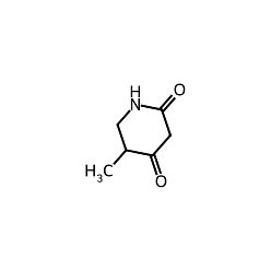 CC1CNC(=O)CC1=O